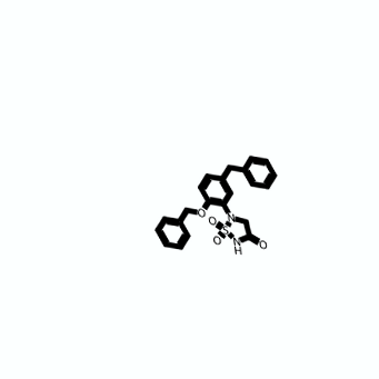 O=C1CN(c2cc(Cc3ccccc3)ccc2OCc2ccccc2)S(=O)(=O)N1